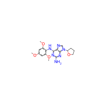 COc1cc(OC)c(Nc2nc(N)nc3c2ncn3C2CCCO2)c(OC)c1